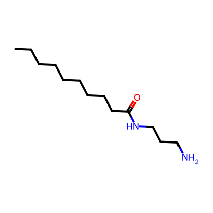 CCCCCCCCCC(=O)NCCCN